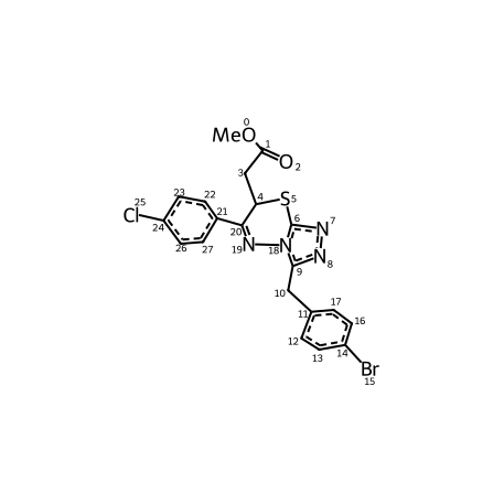 COC(=O)CC1Sc2nnc(Cc3ccc(Br)cc3)n2N=C1c1ccc(Cl)cc1